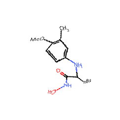 CCCCC(Nc1ccc(OC)c(C)c1)C(=O)NO